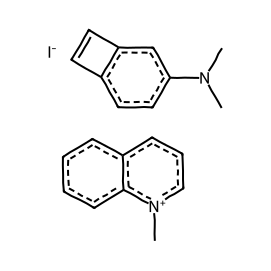 CN(C)c1ccc2c(c1)C=C2.C[n+]1cccc2ccccc21.[I-]